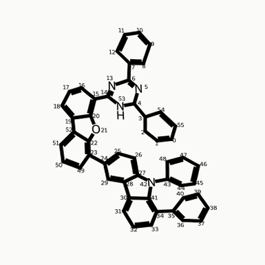 C1=CCC(C2N=C(c3ccccc3)N=C(c3cccc4c3oc3c(-c5ccc6c(c5)c5cccc(-c7ccccc7)c5n6-c5ccccc5)cccc34)N2)C=C1